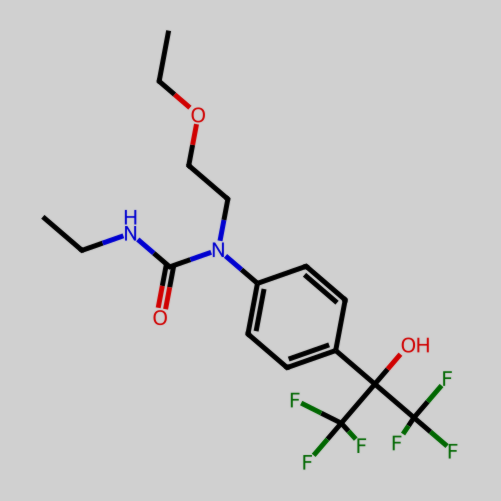 CCNC(=O)N(CCOCC)c1ccc(C(O)(C(F)(F)F)C(F)(F)F)cc1